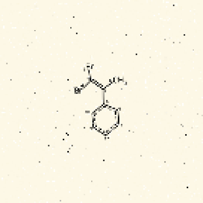 CC(=C(Br)Br)c1ccccc1